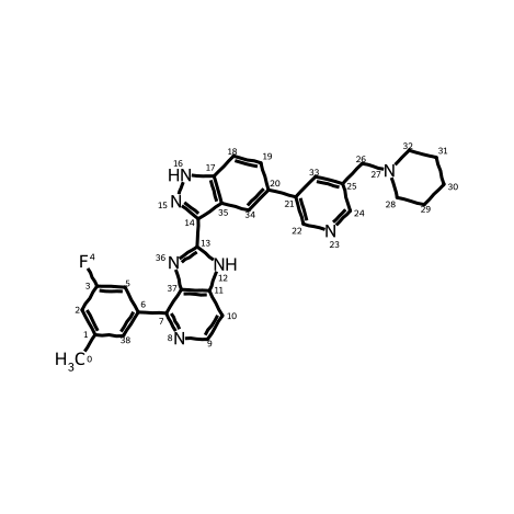 Cc1cc(F)cc(-c2nccc3[nH]c(-c4n[nH]c5ccc(-c6cncc(CN7CCCCC7)c6)cc45)nc23)c1